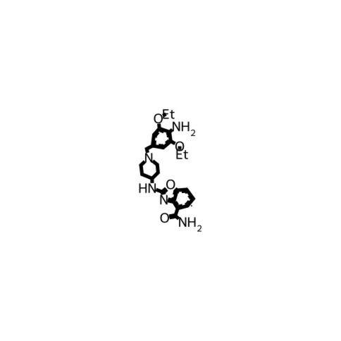 CCOc1cc(CN2CCC(Nc3nc4c(C(N)=O)[c]ccc4o3)CC2)cc(OCC)c1N